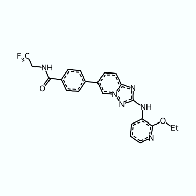 CCOc1ncccc1Nc1nc2ccc(-c3ccc(C(=O)NCC(F)(F)F)cc3)cn2n1